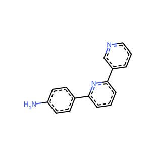 Nc1ccc(-c2cccc(-c3cccnc3)n2)cc1